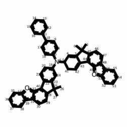 CC1(C)C2=CC(N(c3ccc(-c4ccccc4)cc3)c3ccc4c(c3)C(C)(C)c3ccc5c(oc6ccccc65)c3-4)CC=C2c2c1ccc1c2oc2ccccc21